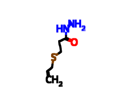 C=CCSCCC(=O)NN